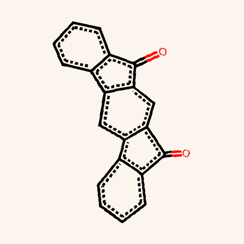 O=c1c2ccccc2c2cc3c(cc12)c(=O)c1ccccc13